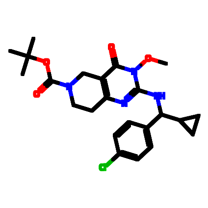 COn1c(NC(c2ccc(Cl)cc2)C2CC2)nc2c(c1=O)CN(C(=O)OC(C)(C)C)CC2